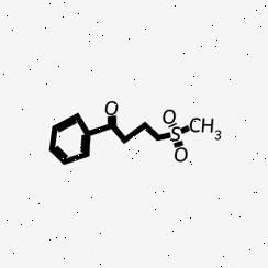 CS(=O)(=O)CCCC(=O)c1ccccc1